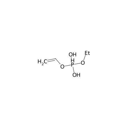 C=CO[PH](O)(O)OCC